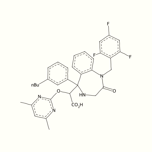 CCCCc1cccc(C2(C(Oc3nc(C)cc(C)n3)C(=O)O)NCC(=O)N(Cc3c(F)cc(F)cc3F)c3ccccc32)c1